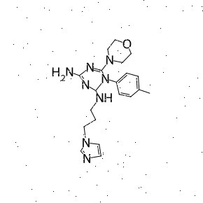 Cc1ccc(N2C(N3CCOCC3)=NC(N)=NC2NCCCn2ccnc2)cc1